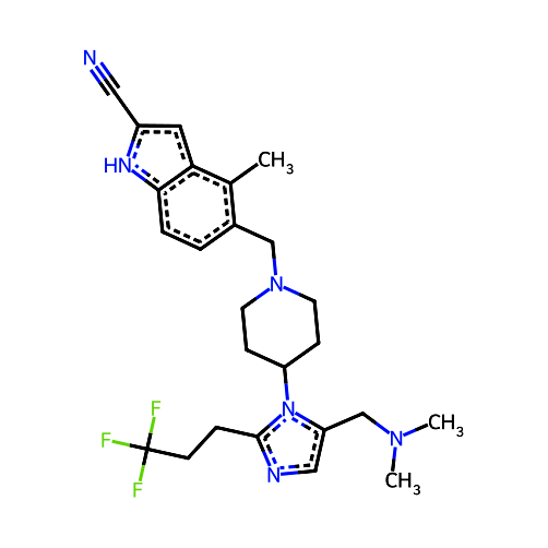 Cc1c(CN2CCC(n3c(CN(C)C)cnc3CCC(F)(F)F)CC2)ccc2[nH]c(C#N)cc12